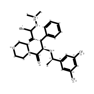 C=C(C(O[SiH](C)C)C(C)(C)C)[C@H](c1ccccc1)[C@@H](O[C@H](C)c1cc(C(F)(F)F)cc(C(F)(F)F)c1)C(=O)N1CCOCC1